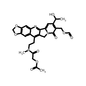 CC(=O)OCC(=O)N(C)CCc1c2c(nc3cc4c(cc13)OCO4)-c1cc(C(C)O)c(COC=O)c(=O)n1C2